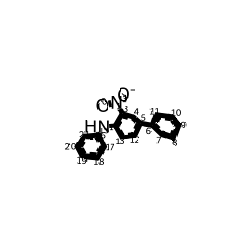 O=[N+]([O-])c1cc(-c2ccccc2)ccc1Nc1ccccc1